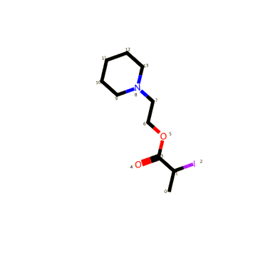 CC(I)C(=O)OCCN1CCCCC1